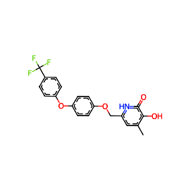 Cc1cc(COc2ccc(Oc3ccc(C(F)(F)F)cc3)cc2)[nH]c(=O)c1O